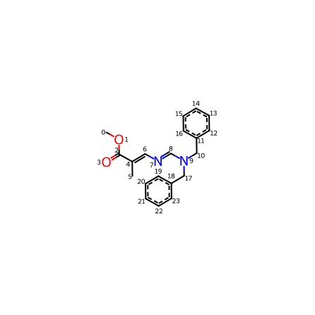 COC(=O)/C(C)=C/N=C/N(Cc1ccccc1)Cc1ccccc1